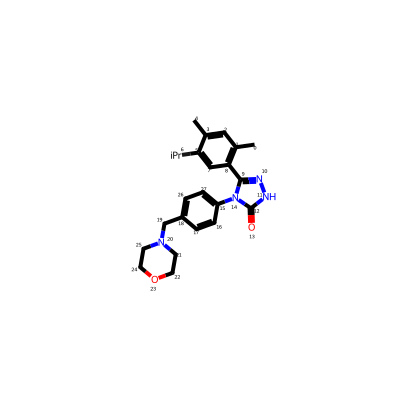 Cc1cc(C)c(C(C)C)cc1-c1n[nH]c(=O)n1-c1ccc(CN2CCOCC2)cc1